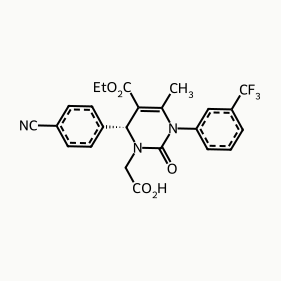 CCOC(=O)C1=C(C)N(c2cccc(C(F)(F)F)c2)C(=O)N(CC(=O)O)[C@@H]1c1ccc(C#N)cc1